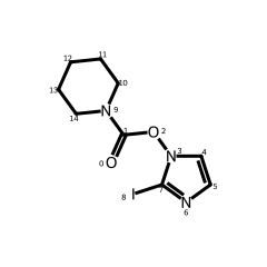 O=C(On1ccnc1I)N1CCCCC1